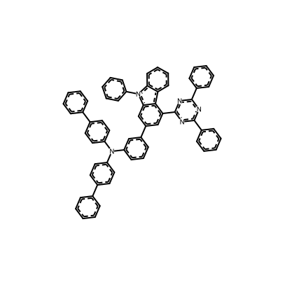 c1ccc(-c2ccc(N(c3ccc(-c4ccccc4)cc3)c3cccc(-c4cc(-c5nc(-c6ccccc6)nc(-c6ccccc6)n5)c5c6ccccc6n(-c6ccccc6)c5c4)c3)cc2)cc1